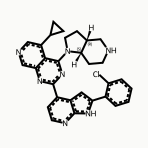 Clc1ccccc1-c1cc2c(-c3nc(N4CC[C@@H]5CNCC[C@@H]54)c4c(C5CC5)cncc4n3)ccnc2[nH]1